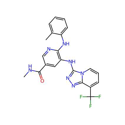 CNC(=O)c1cnc(Nc2ccccc2C)c(Nc2nnc3c(C(F)(F)F)cccn23)c1